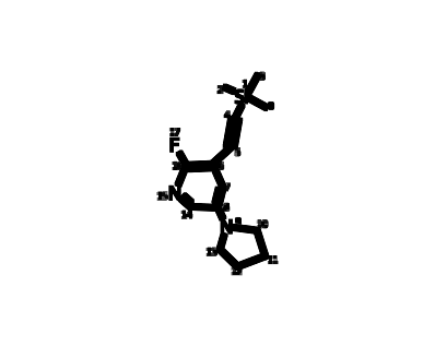 C[Si](C)(C)C#Cc1cc(N2CCCC2)cnc1F